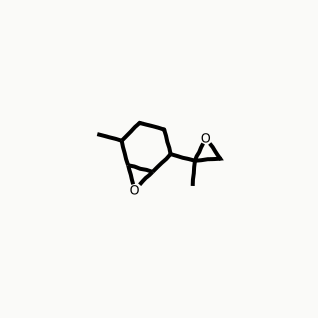 CC1CCC(C2(C)CO2)C2OC12